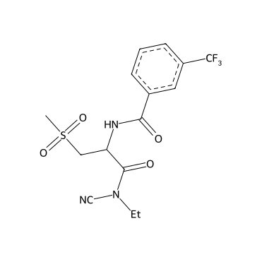 CCN(C#N)C(=O)C(CS(C)(=O)=O)NC(=O)c1cccc(C(F)(F)F)c1